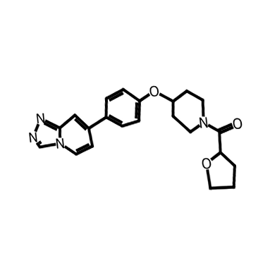 O=C(C1CCCO1)N1CCC(Oc2ccc(-c3ccn4cnnc4c3)cc2)CC1